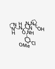 COc1ccc(CNc2nc(N3CCC[C@H]3CO)ncc2C(=O)NCC2=NCCCN2)cc1Cl